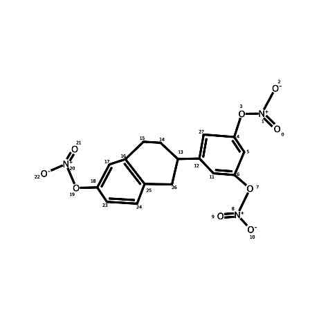 O=[N+]([O-])Oc1cc(O[N+](=O)[O-])cc(C2CCc3cc(O[N+](=O)[O-])ccc3C2)c1